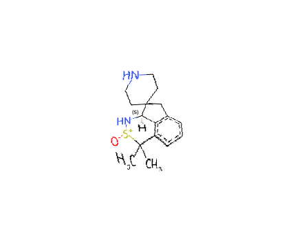 CC1(C)c2cccc3c2[C@@H](N[S+]1[O-])C1(CCNCC1)C3